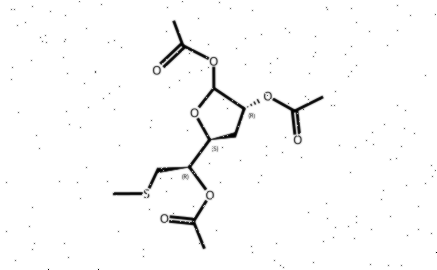 CSC[C@H](OC(C)=O)[C@@H]1C[C@@H](OC(C)=O)C(OC(C)=O)O1